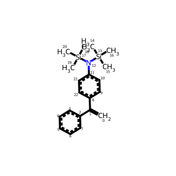 C=C(c1ccccc1)c1ccc(N([Si](C)(C)C)[Si](C)(C)C)cc1